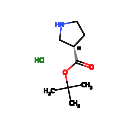 CC(C)(C)OC(=O)[C@H]1CCNC1.Cl